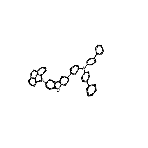 c1ccc(-c2ccc(N(c3ccc(-c4ccccc4)cc3)c3cccc(-c4ccc5oc6ccc(-n7c8cccc9ccc%10cccc7c%10c98)cc6c5c4)c3)cc2)cc1